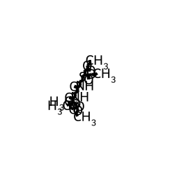 CCOC(=O)CC(SCCNC(=O)CCNC(=O)[C@@H]1OP(=O)(OCC)OCC1(C)C)C(=O)OCC